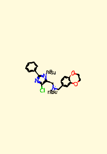 CCCCN(Cc1ccc2c(c1)OCCO2)Cc1c(Cl)nc(-c2ccccc2)n1CCCC